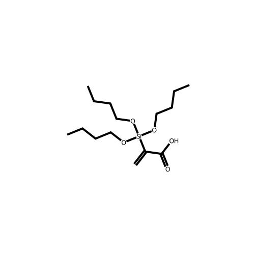 C=C(C(=O)O)[Si](OCCCC)(OCCCC)OCCCC